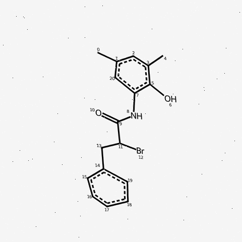 Cc1cc(C)c(O)c(NC(=O)C(Br)Cc2ccccc2)c1